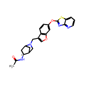 CC(=O)N[C@H]1CC2CC1CN2Cc1coc2cc(Oc3nc4ncccc4s3)ccc12